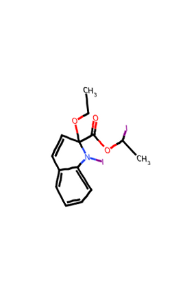 CCOC1(C(=O)OC(C)I)C=Cc2ccccc2N1I